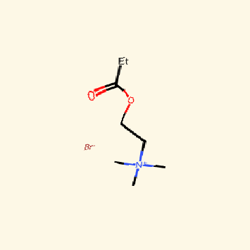 CCC(=O)OCC[N+](C)(C)C.[Br-]